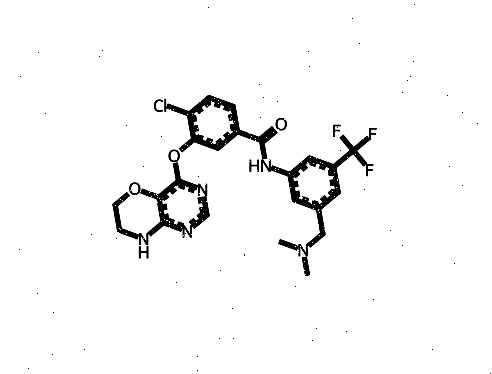 CN(C)Cc1cc(NC(=O)c2ccc(Cl)c(Oc3ncnc4c3OCCN4)c2)cc(C(F)(F)F)c1